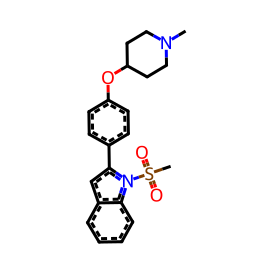 CN1CCC(Oc2ccc(-c3cc4ccccc4n3S(C)(=O)=O)cc2)CC1